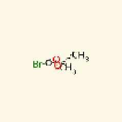 CCCCCCC(C)OC(=O)c1ccc(Br)cc1